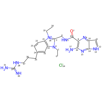 CCn1c(CNC(=O)c2nc3cc[nH]c3nc2N)[n+](CC)c2ccc(CCCNC(=N)N)cc21.[Cl-]